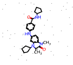 C[C@@H]1C(=O)N(C)c2ccc(Nc3ccc(C(=O)NC4CCCC4)cc3)cc2N1C1CCCC1